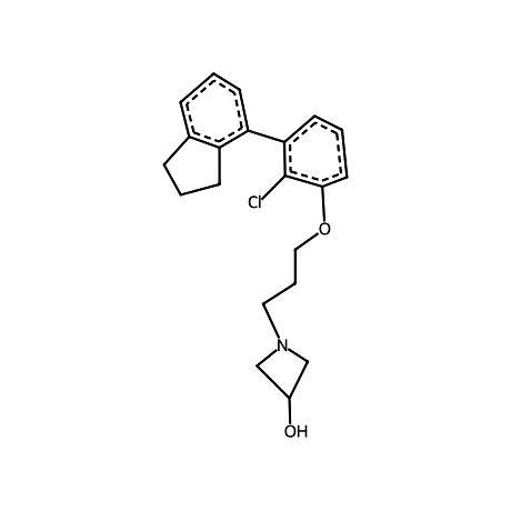 OC1CN(CCCOc2cccc(-c3cccc4c3CCC4)c2Cl)C1